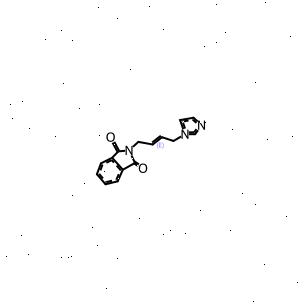 O=C1c2ccccc2C(=O)N1C/C=C/Cn1ccnc1